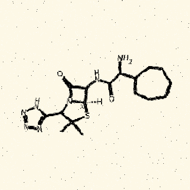 CC1(C)S[C@@H]2C(NC(=O)C(N)C3CCCCCC3)C(=O)N2C1c1nnn[nH]1